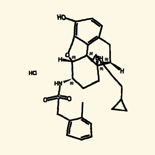 Cc1ccccc1CS(=O)(=O)N[C@H]1CC[C@@]2(O)[C@H]3Cc4ccc(O)c5c4[C@@]2(CCN3CC2CC2)[C@H]1O5.Cl